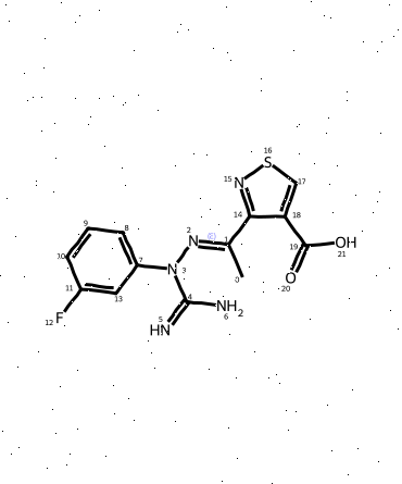 C/C(=N\N(C(=N)N)c1cccc(F)c1)c1nscc1C(=O)O